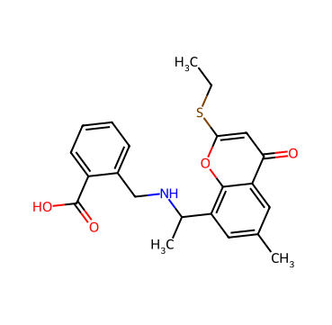 CCSc1cc(=O)c2cc(C)cc(C(C)NCc3ccccc3C(=O)O)c2o1